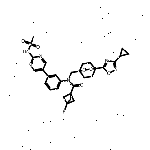 CS(=O)(=O)Nc1ncc(-c2cccc(N(CC34CCC(c5nc(C6CC6)no5)(CC3)CC4)C(=O)C34CC(F)(C3)C4)c2)cn1